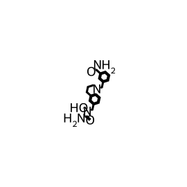 NC(=O)c1cccc(CN2CCCc3cc(CN(O)C(N)=O)ccc32)c1